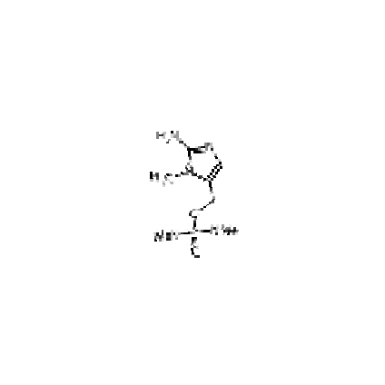 CNP(=O)(NC)OCc1cnc(N)n1C